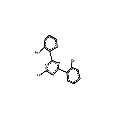 CCc1nc(-c2ccccc2O)nc(-c2ccccc2O)n1